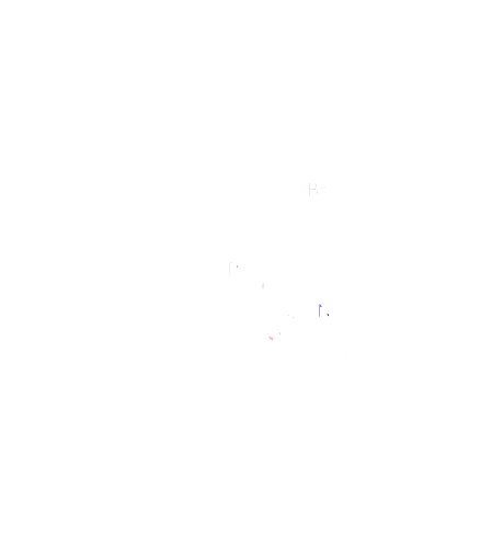 O=C1[C@H]([P+](c2ccccc2)(c2ccccc2)c2ccccc2)CCCN1C1CC1.[Br-]